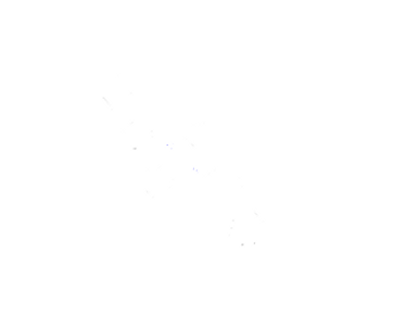 c1ccc2c(c1)oc1cc3c4cccc5c4n(c3cc12)c1cccc2c3cc4oc6ccccc6c4cc3n5c21